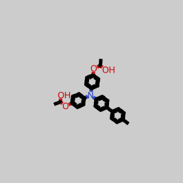 Cc1ccc(-c2ccc(N(c3ccc(OC(C)O)cc3)c3ccc(OC(C)O)cc3)cc2)cc1